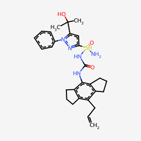 C=CCc1c2c(c(NC(=O)N[SH](N)(=O)c3cc(C(C)(C)O)n(-c4ccccc4)n3)c3c1CCC3)CCC2